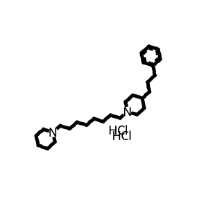 Cl.Cl.c1ccc(CCCC2CCN(CCCCCCCCN3CCCCC3)CC2)cc1